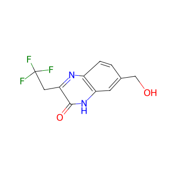 O=c1[nH]c2cc(CO)ccc2nc1CC(F)(F)F